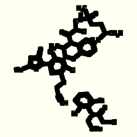 C#CCOc1cc(-n2nc(C(C)(C)C)oc2=O)c(Cl)cc1Cl.CC1COc2ccccc2N1C(=O)C(Cl)Cl.CCc1cccc(CC)c1N(COC)C(=O)CCl.CP(=O)(O)CCC(N)C(=O)O